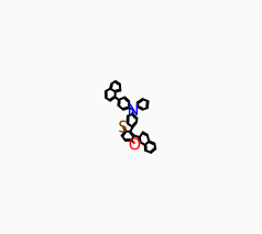 c1ccc(N(c2ccc(-c3cccc4ccccc34)cc2)c2ccc3c(c2)sc2ccc4oc5c6ccccc6ccc5c4c23)cc1